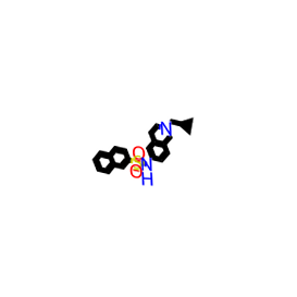 O=S(=O)(Nc1ccc2c(c1)CCN(CC1CC1)C2)c1ccc2ccccc2c1